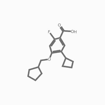 O=C(O)c1cc(C2CCC2)c(OCC2CCCC2)cc1F